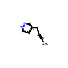 CC#CCc1ccnnc1